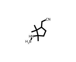 BNC1(C)CCC(CC#N)C1(C)C